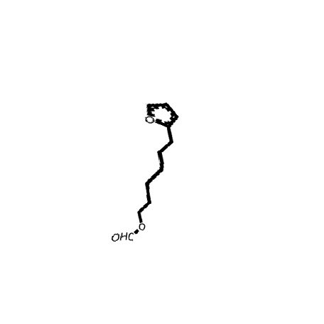 O=COCCCCCCc1ccco1